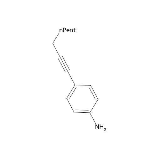 CCCCCCC#Cc1ccc(N)cc1